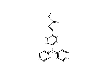 C=CC(=O)OC.c1ccc(P(c2ccccc2)c2ccccc2)cc1